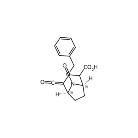 O=C=C1C(=O)C(C(=O)O)[C@H]2CC[C@@H]1N2OCc1ccccc1